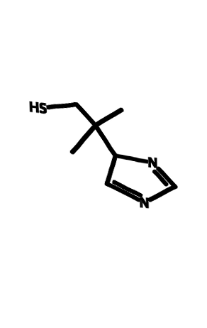 CC(C)(CS)C1C=NC=N1